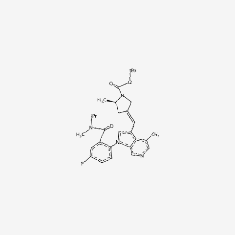 Cc1cncc2c1c(/C=C1\C[C@@H](C)N(C(=O)OC(C)(C)C)C1)cn2-c1ccc(F)cc1C(=O)N(C)C(C)C